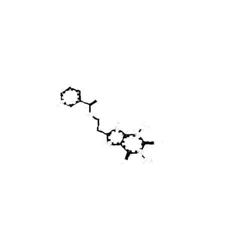 Cn1c(=O)c2[nH]c(CCOC(=O)c3cccnc3)nc2n(C)c1=O